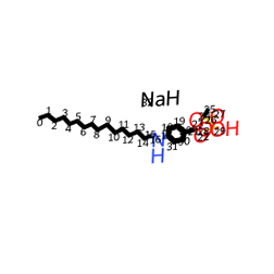 CCCCCCCCCCCCCCCCNc1ccc(C(=O)OC(C)S(=O)(=O)O)cc1.[NaH]